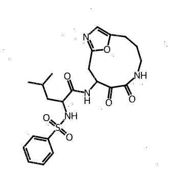 CC(C)CC(NS(=O)(=O)c1ccccc1)C(=O)NC1Cc2ncc(o2)CCCNC(=O)C1=O